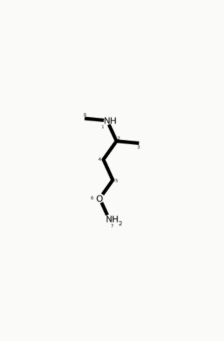 CNC(C)CCON